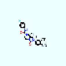 C[C@@]12CN(C(=O)Nc3ccc(F)cc3)CCN1C(=O)N(c1ccc(C#N)c(C(F)(F)F)c1)C2